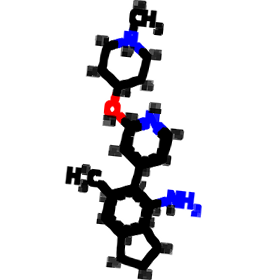 Cc1cc2c(c(N)c1-c1ccnc(OC3CCN(C)CC3)c1)CCC2